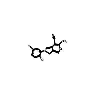 N#CC1=C(N)NC=C2CN(c3cc(Cl)ccc3Cl)C=C21